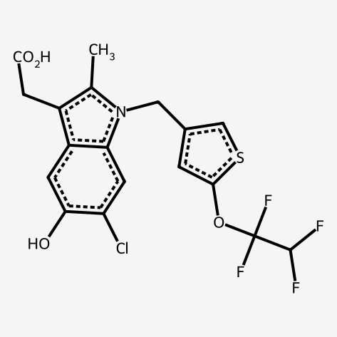 Cc1c(CC(=O)O)c2cc(O)c(Cl)cc2n1Cc1csc(OC(F)(F)C(F)F)c1